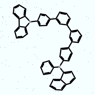 c1ccc(N(c2ccc(-c3cccc(-c4cccc(-c5ccc(-n6c7ccccc7c7ccccc76)cc5)c4)c3)cc2)c2cccc3ccccc23)cc1